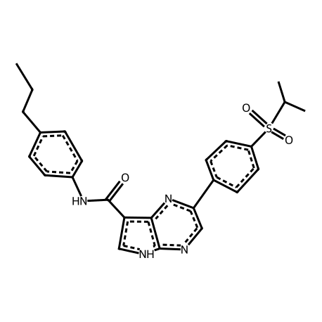 CCCc1ccc(NC(=O)c2c[nH]c3ncc(-c4ccc(S(=O)(=O)C(C)C)cc4)nc23)cc1